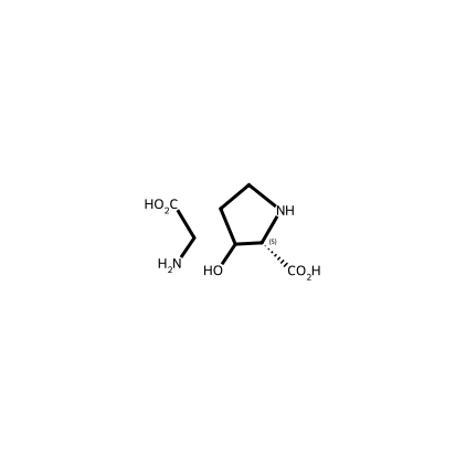 NCC(=O)O.O=C(O)[C@H]1NCCC1O